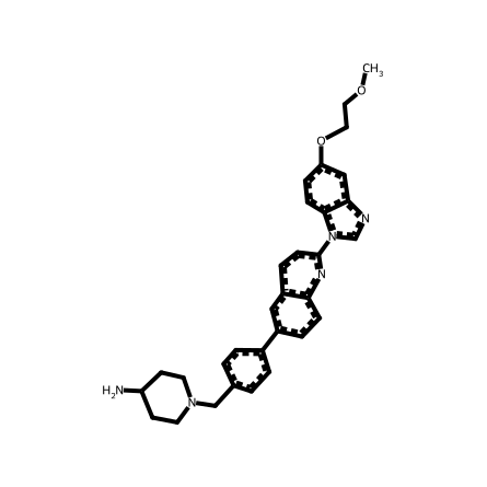 COCCOc1ccc2c(c1)ncn2-c1ccc2cc(-c3ccc(CN4CCC(N)CC4)cc3)ccc2n1